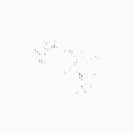 COc1cc2c(cc1-c1cccc(/C(C)=N/OCCNC(=O)CN(C)C(=O)CN(C)C(=O)OC(C)(C)C)c1)-c1c(c(C(=O)N3CCOCC3(C)C)nn1-c1cc(Cl)cc(Cl)c1)CO2